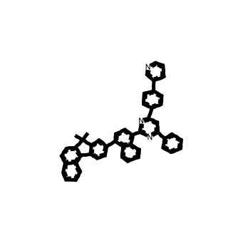 CC1(C)c2cc(-c3ccc(-c4nc(-c5ccccc5)cc(-c5ccc(-c6cccnc6)cc5)n4)c4ccccc34)ccc2-c2c1ccc1ccccc21